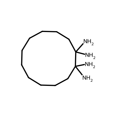 NC1(N)CCCCCCCCCCC1(N)N